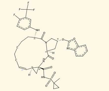 CC1(S(=O)(=O)NC(=O)[C@@]23C[C@H]2/C=C\CCCCC[C@H](Nc2ccc(F)c(C(F)(F)F)c2)C(=O)N2C[C@H](Oc4nc5ccccc5o4)C[C@H]2C(=O)N3)CC1